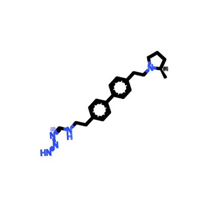 C[C@@H]1CCCN1CCc1ccc(-c2ccc(CCN/C=N\N=N)cc2)cc1